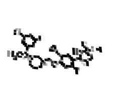 C[C@@H](c1cc(Cl)cc(Cl)c1)N1CCC[C@H](COc2cc(F)c(C(=O)NS(C)(=O)=O)cc2C2CC2)C1